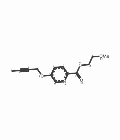 CC#CCOc1ccc(C(=O)OCCOC)nc1